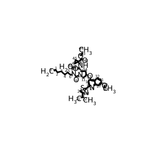 C=CCCCCCNC(=O)N1C[C@H](Oc2cc(-c3nc(C(C)C)cs3)nc3cc(OC)ccc23)C[C@H]1C(=O)N[C@]1(C(=O)OCC)C[C@H]1C=C